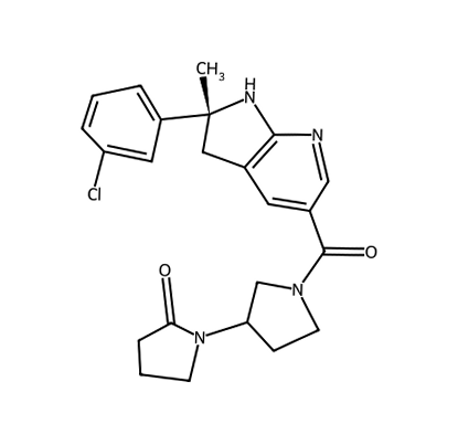 C[C@]1(c2cccc(Cl)c2)Cc2cc(C(=O)N3CCC(N4CCCC4=O)C3)cnc2N1